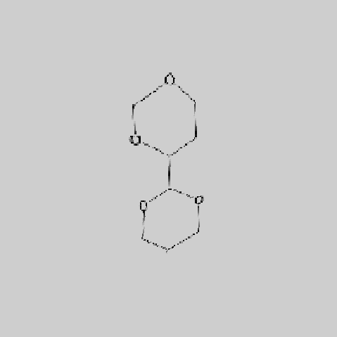 [CH]1COC(C2CCOCO2)OC1